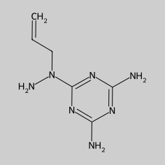 C=CCN(N)c1nc(N)nc(N)n1